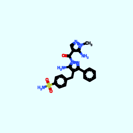 Cn1ncc(C(=O)n2nc(-c3ccccc3)c(Cc3ccc(S(N)(=O)=O)cc3)c2N)c1N